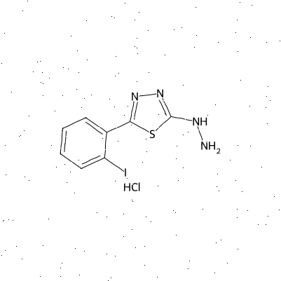 Cl.NNc1nnc(-c2ccccc2I)s1